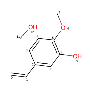 C=Cc1ccc(OC)c(O)c1.CO